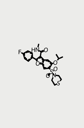 CNC(=O)c1c(-c2ccc(F)cc2)oc2cc(S(=O)(=O)N3CCSCC3)c(OC(C)C)cc12